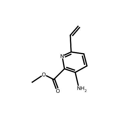 C=Cc1ccc(N)c(C(=O)OC)n1